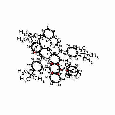 CCCCc1cccc2oc3c(c12)B1c2cc(C(C)(C)C)ccc2N(c2ccc(C(C)(C)C)cc2-c2ccc(C(C)(C)C)cc2)c2cc(N(c4ccccc4)c4ccccc4)cc(c21)N3c1ccc(C(C)(C)C)cc1